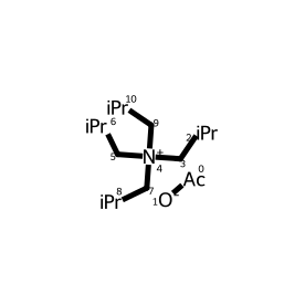 CC(=O)[O-].CC(C)C[N+](CC(C)C)(CC(C)C)CC(C)C